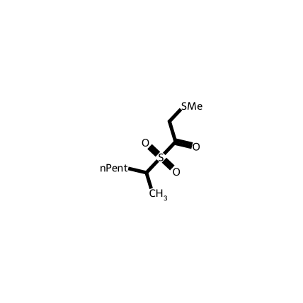 CCCCCC(C)S(=O)(=O)C(=O)CSC